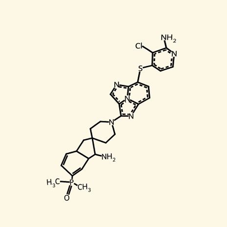 CP(C)(=O)C1=CC2C(C=C1)CC1(CCN(c3nc4ccc(Sc5ccnc(N)c5Cl)c5ncc3n45)CC1)C2N